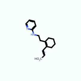 O=C(O)/C=C/C1=C(CCNc2ccccn2)CCCC1